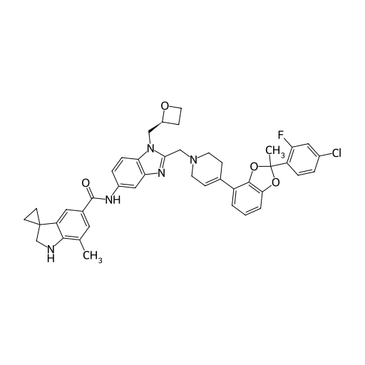 Cc1cc(C(=O)Nc2ccc3c(c2)nc(CN2CC=C(c4cccc5c4OC(C)(c4ccc(Cl)cc4F)O5)CC2)n3C[C@@H]2CCO2)cc2c1NCC21CC1